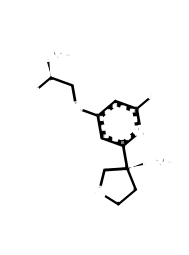 CO[C@H](C)COc1cc(Cl)nc([C@]2(OC)CCOC2)c1